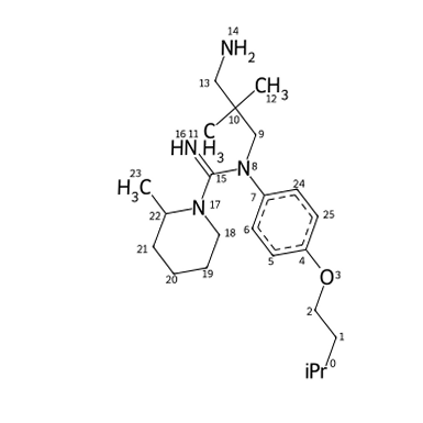 CC(C)CCOc1ccc(N(CC(C)(C)CN)C(=N)N2CCCCC2C)cc1